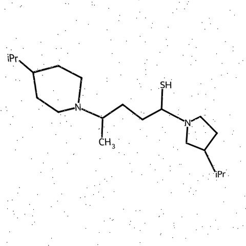 CC(C)C1CCN(C(C)CCC(S)N2CCC(C(C)C)C2)CC1